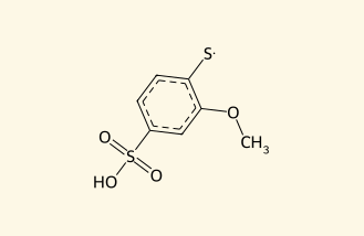 COc1cc(S(=O)(=O)O)ccc1[S]